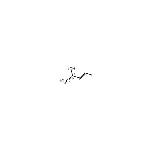 CC=C[C@H](O)C(=O)O